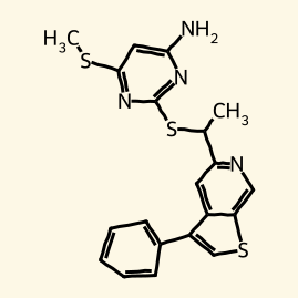 CSc1cc(N)nc(SC(C)c2cc3c(-c4ccccc4)csc3cn2)n1